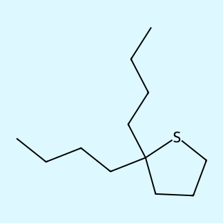 CCCCC1(CCCC)CCCS1